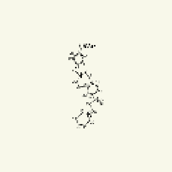 COc1ccc(CN2CCc3ccc(C(=O)CCN4CCCCC4)cc3CC2)cc1